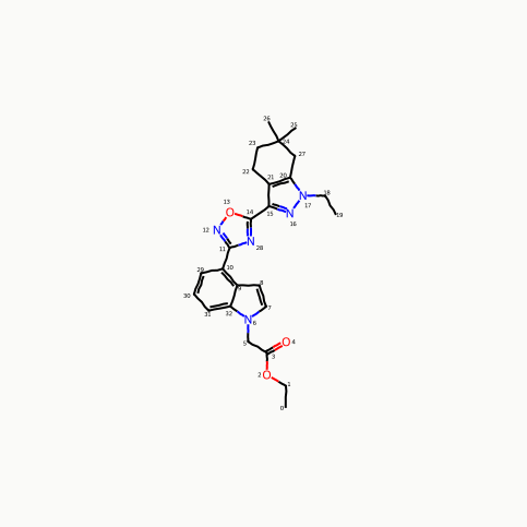 CCOC(=O)Cn1ccc2c(-c3noc(-c4nn(CC)c5c4CCC(C)(C)C5)n3)cccc21